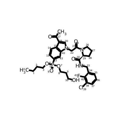 CCCCOP(=O)(OCCCO)c1ccc2c(C(C)=O)cn(CC(=O)N3CCC[C@H]3C(=O)NCc3cccc(Cl)c3F)c2c1